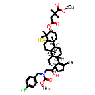 CC(C)C1=C2[C@H]3CC[C@@H]4[C@@]5(C)CC[C@H](OC(=O)CC(C)(C)C(=O)OC(C)(C)C)C(C)(C)C5(S)CC[C@@]4(C)[C@]3(C)CC[C@@]2([C@@H](O)CN(Cc2ccc(Cl)cc2)C(=O)OC(C)(C)C)CC1